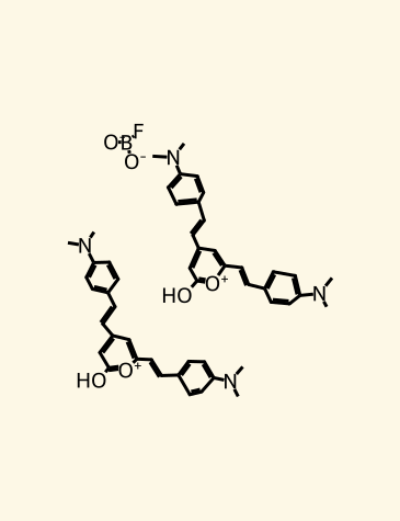 CN(C)c1ccc(C=Cc2cc(O)[o+]c(C=Cc3ccc(N(C)C)cc3)c2)cc1.CN(C)c1ccc(C=Cc2cc(O)[o+]c(C=Cc3ccc(N(C)C)cc3)c2)cc1.[O-]B([O-])F